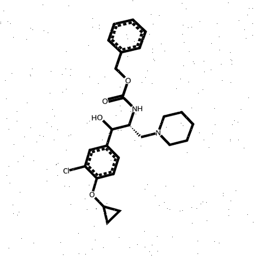 O=C(N[C@H](CN1CCCCC1)C(O)c1ccc(OC2CC2)c(Cl)c1)OCc1ccccc1